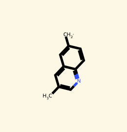 [CH2]c1ccc2ncc(C)cc2c1